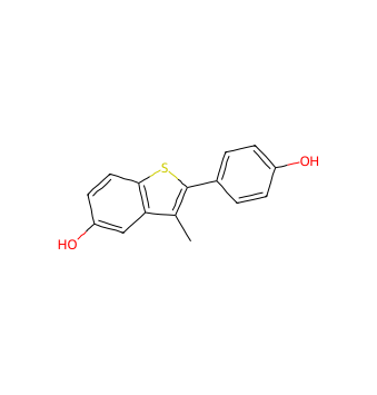 Cc1c(-c2ccc(O)cc2)sc2ccc(O)cc12